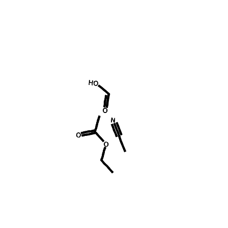 CC#N.CCOC(C)=O.O=CO